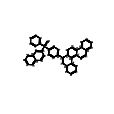 O=P(c1ccccc1)(c1ccc(-c2cc3ccccc3c3c2ccc2c4ccccc4ccc23)cc1)c1ccc2ccccc2c1